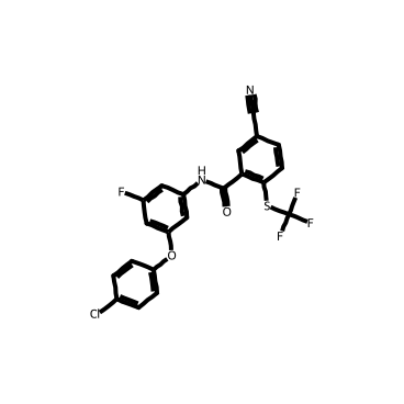 N#Cc1ccc(SC(F)(F)F)c(C(=O)Nc2cc(F)cc(Oc3ccc(Cl)cc3)c2)c1